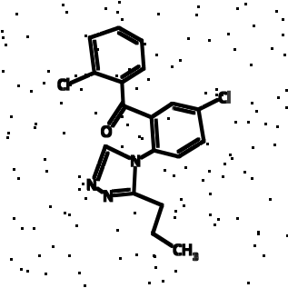 CCCc1nncn1-c1ccc(Cl)cc1C(=O)c1ccccc1Cl